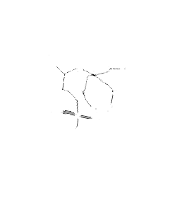 CC(CCS(=O)(=O)O)NC(CO)(CO)CO